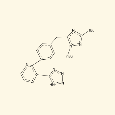 CCCCn1nc(C(C)(C)C)nc1Cc1ccc(-c2ncccc2-c2nnn[nH]2)cc1